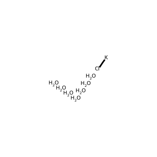 O.O.O.O.O.O.O.[Cl][K]